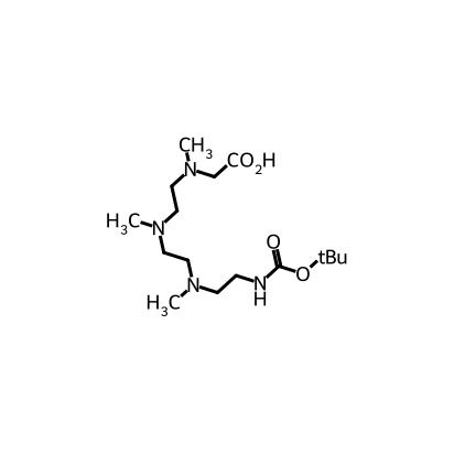 CN(CCNC(=O)OC(C)(C)C)CCN(C)CCN(C)CC(=O)O